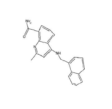 Cc1cc(NCc2cccc3ccccc23)c2cccc(C(N)=O)c2n1